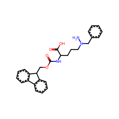 NN(CCCC(NC(=O)OCC1c2ccccc2-c2ccccc21)C(=O)O)Cc1ccccc1